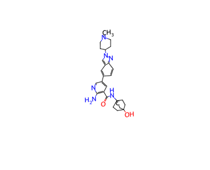 CN1CCC(n2cc3cc(-c4cnc(N)c(C(=O)NC56CCC(O)(CC5)CC6)c4)ccc3n2)CC1